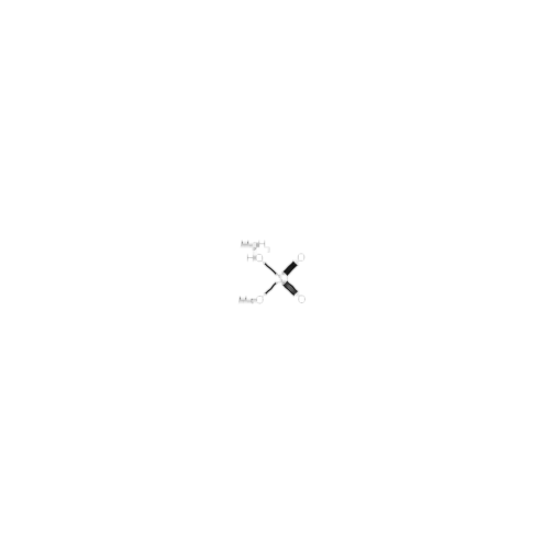 COS(=O)(=O)O.[MgH2]